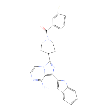 Nc1nccn2c(C3CCN(C(=O)c4cccc(S)c4)CC3)nc(-c3cc4ccccc4[nH]3)c12